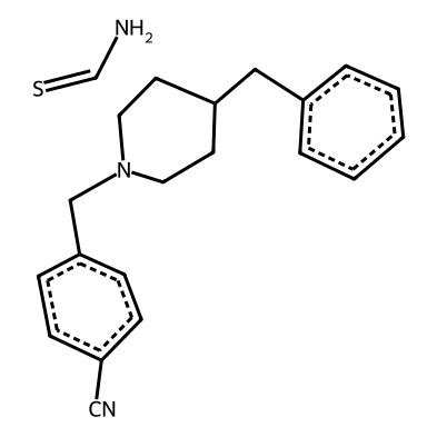 N#Cc1ccc(CN2CCC(Cc3ccccc3)CC2)cc1.NC=S